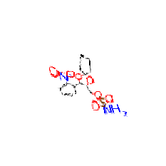 NS(=O)(=O)OCC1OC2(CCCC2)OC1c1ccccc1[N+](=O)[O-]